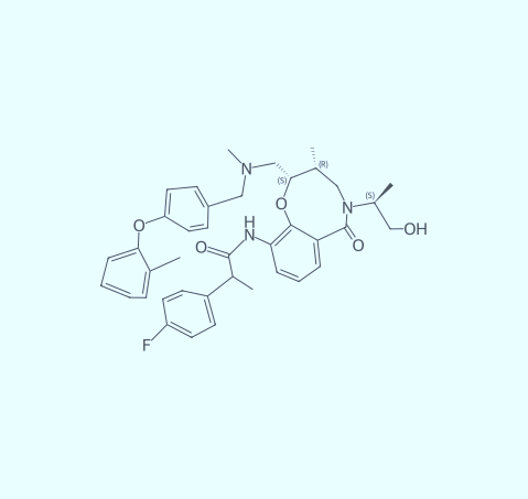 Cc1ccccc1Oc1ccc(CN(C)C[C@H]2Oc3c(NC(=O)C(C)c4ccc(F)cc4)cccc3C(=O)N([C@@H](C)CO)C[C@H]2C)cc1